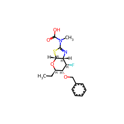 CC[C@H]1O[C@@H]2SC(N(C)C(=O)O)=N[C@@H]2[C@@H](F)[C@@H]1OCc1ccccc1